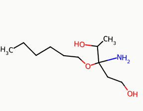 CCCCCCOC(N)(CCO)C(C)O